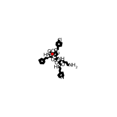 CS(=O)(=O)N[C@H](CCc1ccccc1)C(=O)N1C[C@H](OCc2ccc(Cl)cc2)C[C@H]1C(=O)N[C@@H](CCCCN)C(=O)C(=O)NCCc1ccncc1